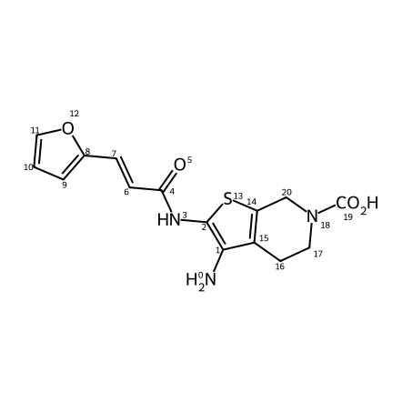 Nc1c(NC(=O)/C=C/c2ccco2)sc2c1CCN(C(=O)O)C2